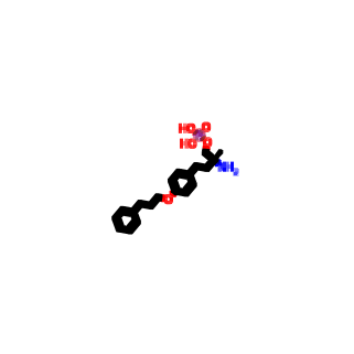 C[C@@](N)(CCc1ccc(OCCCc2ccccc2)cc1)COP(=O)(O)O